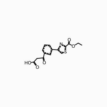 CCOC(=O)c1nc(-c2cccc(C(=O)CC(=O)O)c2)cs1